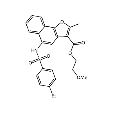 CCc1ccc(S(=O)(=O)Nc2cc3c(C(=O)OCCOC)c(C)oc3c3ccccc23)cc1